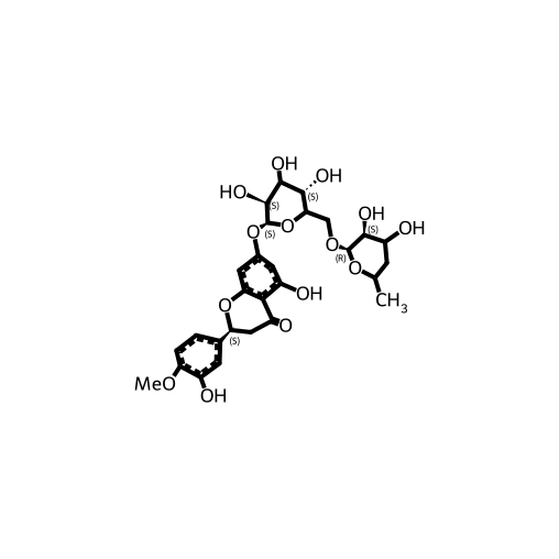 COc1ccc([C@@H]2CC(=O)c3c(O)cc(O[C@@H]4OC(CO[C@@H]5OC(C)CC(O)[C@@H]5O)[C@@H](O)C(O)[C@@H]4O)cc3O2)cc1O